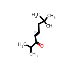 CC(C)C(=O)/C=C/CC(C)(C)C